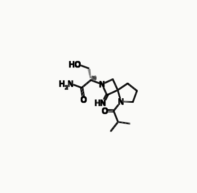 CC(C)C(=O)N1CCCC12CN([C@@H](CO)C(N)=O)C2=N